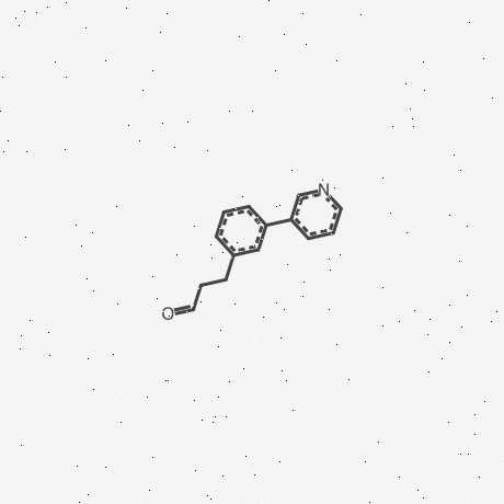 O=CCCc1cccc(-c2cccnc2)c1